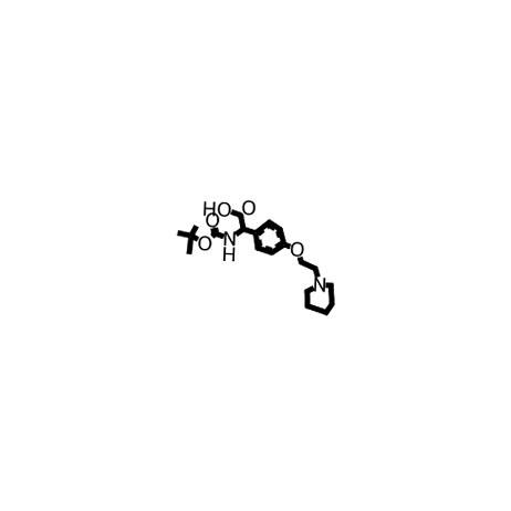 CC(C)(C)OC(=O)NC(C(=O)O)c1ccc(OCCN2CCCCC2)cc1